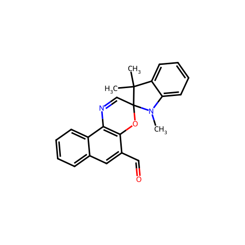 CN1c2ccccc2C(C)(C)C12C=Nc1c(c(C=O)cc3ccccc13)O2